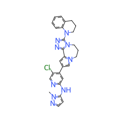 Cn1nccc1Nc1cc(-c2cc3n(c2)CCCn2c-3nnc2N2CCCc3ccccc32)c(Cl)cn1